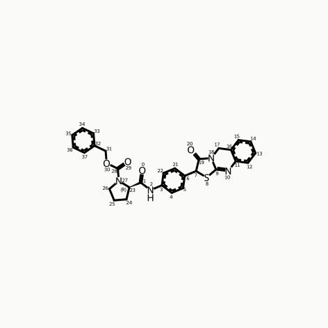 O=C(Nc1ccc(C2SC3=Nc4ccccc4CN3C2=O)cc1)[C@H]1CCCN1C(=O)OCc1ccccc1